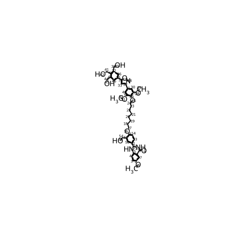 COc1ccc2c(c1)C(=O)NC(c1ccc(OCCCCCCCCOc3c(OC)cc(-c4cc(-c5cc(CO)c(CO)c(CO)c5)on4)cc3OC)c(CO)c1)N2